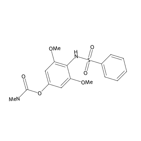 CNC(=O)Oc1cc(OC)c(NS(=O)(=O)c2ccccc2)c(OC)c1